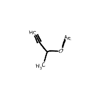 C#CC(C)OC([CH2])=O